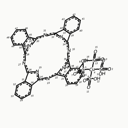 O=[S](=O)(O)[Cu]([S](=O)(=O)O)([S](=O)(=O)O)[S](=O)(=O)Oc1cccc2c3nc4nc(nc5[nH]c(nc6nc(nc([nH]3)c12)-c1ccccc1-6)c1ccccc51)-c1ccccc1-4